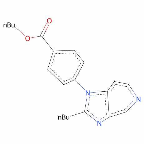 CCCCOC(=O)c1ccc(-n2c(CCCC)nc3cnccc32)cc1